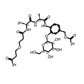 CC(C)C(=O)CCOCCC(=O)N[C@H](C(=O)N[C@@H](C)C(=O)Nc1ccc(COC(=O)C(C)C)cc1O[C@@H]1O[C@H](CO)[C@@H](O)[C@H](O)[C@H]1O)C(C)C